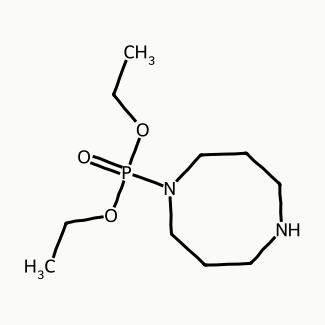 CCOP(=O)(OCC)N1CCCNCCC1